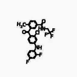 Cc1ccc(C(=O)NCC(F)(F)F)cc1C(=O)c1ccc(Nc2ccc(F)cc2F)cc1Cl